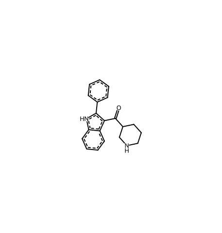 O=C(c1c(-c2ccccc2)[nH]c2ccccc12)C1CCCNC1